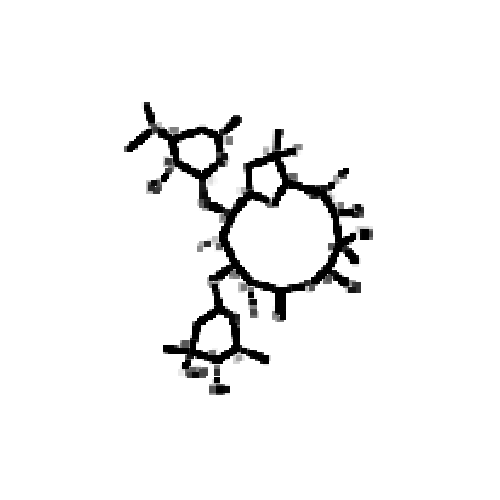 CC[C@H]1OC(=O)[C@H](C)[C@@H](OC2C[C@@](C)(OC)[C@@H](O)[C@H](C)O2)[C@H](C)[C@@H](O[C@@H]2O[C@H](C)C[C@H](N(C)C)[C@H]2O)[C@]2(C)C[C@](C)(F)[C@](O)(O2)[C@H](C)[C@@H](O)[C@]1(C)O